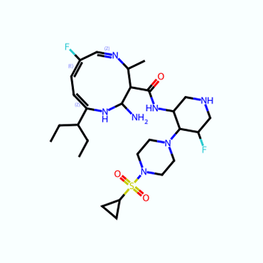 CCC(CC)/C1=C/C=C(F)\C=N/C(C)C(C(=O)NC2CNCC(F)C2N2CCN(S(=O)(=O)C3CC3)CC2)C(N)N1